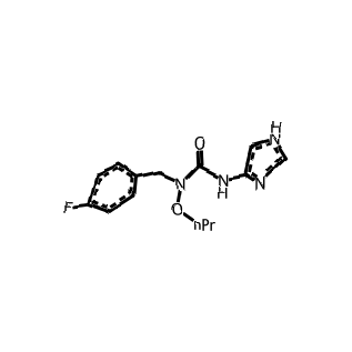 CCCON(Cc1ccc(F)cc1)C(=O)Nc1c[nH]cn1